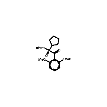 CCCCCP(=O)(C(=O)c1c(OC)cccc1OC)C1CCCC1